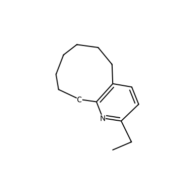 CCc1ccc2c(n1)CCCCCCC2